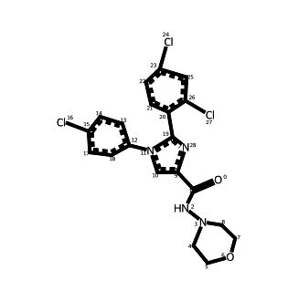 O=C(NN1CCOCC1)c1cn(-c2ccc(Cl)cc2)c(-c2ccc(Cl)cc2Cl)n1